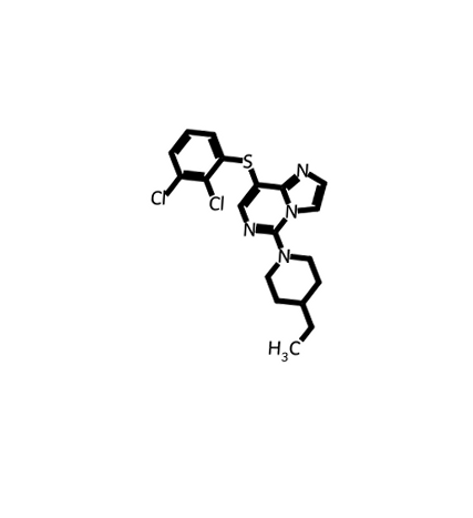 CCC1CCN(c2ncc(Sc3cccc(Cl)c3Cl)c3nccn23)CC1